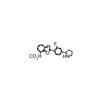 O=C(O)c1cccc2nc(-c3ccc(C4CCCN4)cc3F)oc12